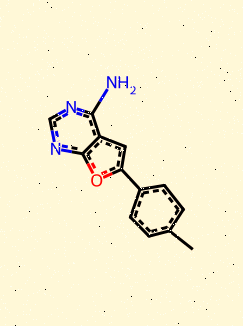 Cc1ccc(-c2cc3c(N)ncnc3o2)cc1